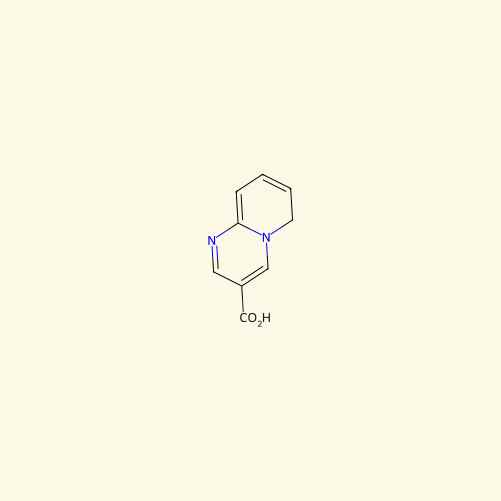 O=C(O)C1=CN2CC=CC=C2N=C1